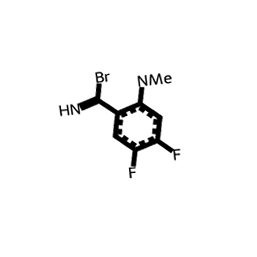 CNc1cc(F)c(F)cc1C(=N)Br